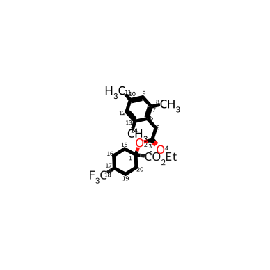 CCOC(=O)C1(OC(=O)Cc2c(C)cc(C)cc2C)CCC(C(F)(F)F)CC1